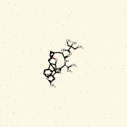 CCC(O)(CC)C(=O)N[C@H]1Cc2ccc3c(c2)C2(c4ccccc4NC2O3)c2oc(nc2-c2cc(C)n[nH]2)[C@H](C(C)C)NC1=O